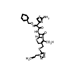 C=CCn1nnnc1SCC1=C(C(=O)O)N2C(=O)C(NC(=O)C(=NOCc3ccccc3)c3csc(N)n3)[C@@H]2SC1